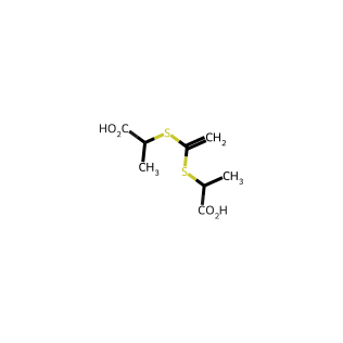 C=C(SC(C)C(=O)O)SC(C)C(=O)O